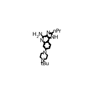 CCCc1nc2c(N)nc3cc(N4CCN(C(C)(C)C)CC4)ccc3c2[nH]1